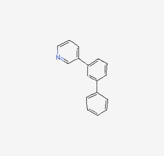 c1ccc(-c2cccc(-c3cccnc3)c2)cc1